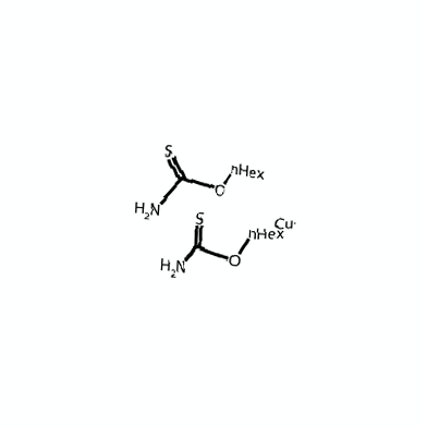 CCCCCCOC(N)=S.CCCCCCOC(N)=S.[Cu]